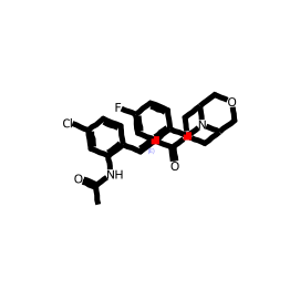 CC(=O)Nc1cc(Cl)ccc1/C=C/C(=O)N1CC2COCC(C1)N2Cc1ccc(F)cc1